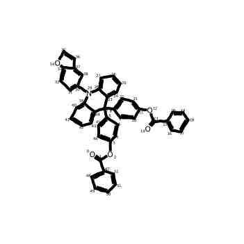 O=C(Oc1ccc(C2(c3ccc(OC(=O)c4ccccc4)cc3)c3ccccc3N(c3ccc4occc4c3)c3ccccc32)cc1)c1ccccc1